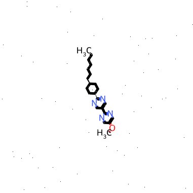 CCCCCCC[C@H]1CC[C@H](c2ncc(-c3ncc(OC)cn3)cn2)CC1